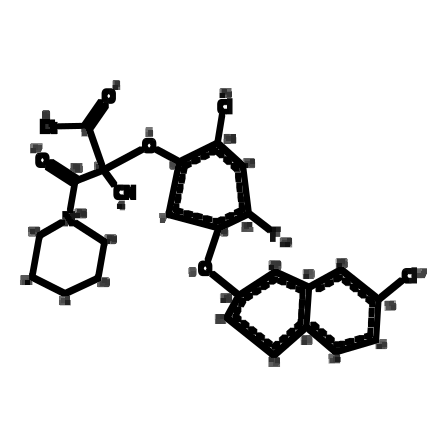 CCC(=O)C(C#N)(Oc1cc(Oc2ccc3ccc(Cl)cc3c2)c(F)cc1Cl)C(=O)N1CCCCC1